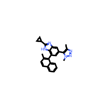 Cc1ccc2ccccc2c1-c1cc(-c2c(C)nnn2C)cc2nc(C3CC3)[nH]c12